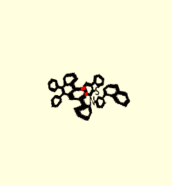 c1ccc(-c2c(-c3ccccc3)c3cc(-c4ccccc4N(c4cccc(-c5cccc6ccccc56)c4)c4cccc5c4sc4ccccc45)ccc3c3ccccc23)cc1